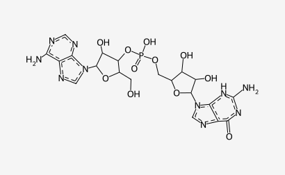 Nc1nc(=O)c2ncn(C3OC(COP(=O)(O)OC4C(CO)OC(n5cnc6c(N)ncnc65)C4O)C(O)C3O)c2[nH]1